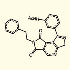 CC(=O)Nc1cccc(C2=NCc3ncc4c(c32)C(=O)N(CCc2ccccc2)C4=O)c1